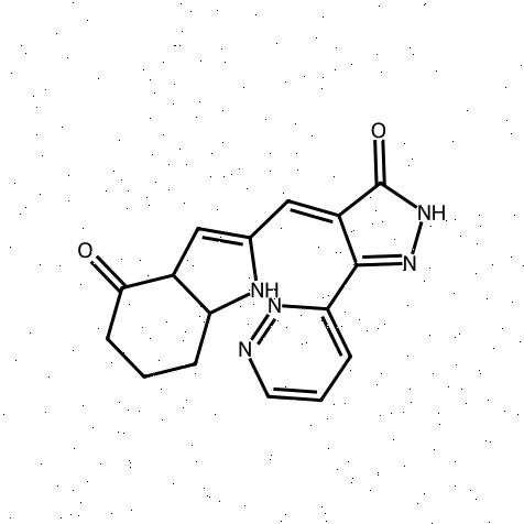 O=C1NN=C(c2cccnn2)/C1=C\C1=CC2C(=O)CCCC2N1